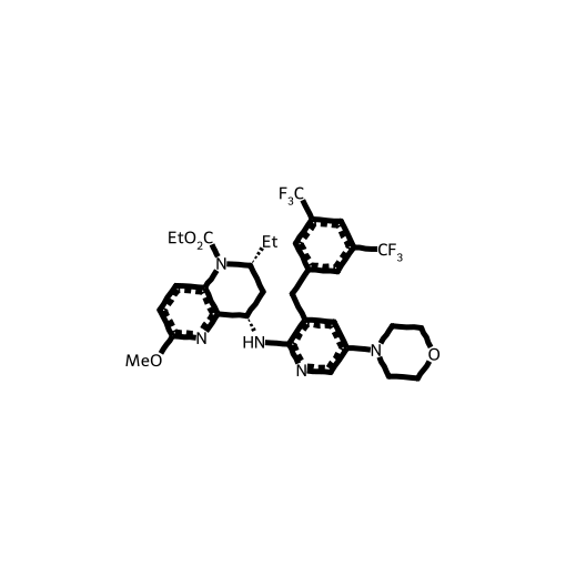 CCOC(=O)N1c2ccc(OC)nc2[C@@H](Nc2ncc(N3CCOCC3)cc2Cc2cc(C(F)(F)F)cc(C(F)(F)F)c2)C[C@H]1CC